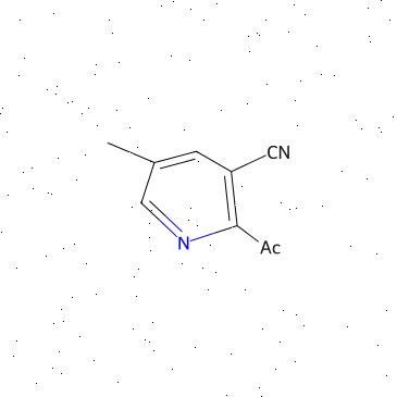 CC(=O)c1ncc(C)cc1C#N